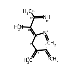 C=CC(=C)C/C(N=C)=C(\N)C(C)=N